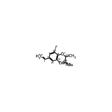 C=Cc1cc(I)c(OC(C)OC(C)CC)c(OC)c1